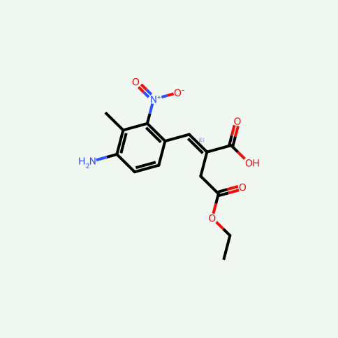 CCOC(=O)C/C(=C\c1ccc(N)c(C)c1[N+](=O)[O-])C(=O)O